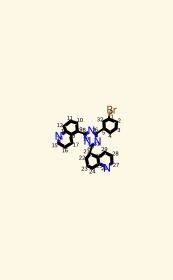 Brc1cccc(-c2nc(-c3cccc4ncccc34)nc(-c3cccc4ncccc34)n2)c1